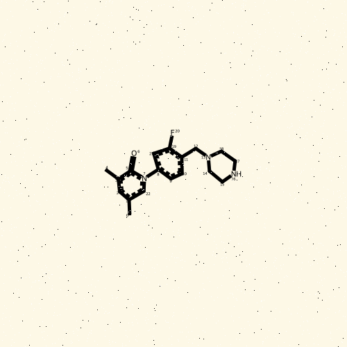 Cc1cc(C)c(=O)n(-c2ccc(CN3CCNCC3)c(F)c2)c1